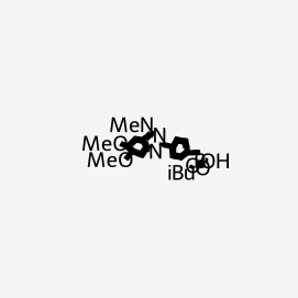 CCC(C)OP(=O)(O)Cc1ccc(-c2nc(NC)c3cc(OC)c(OC)cc3n2)cc1